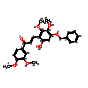 COc1ccc(C(=O)C=Cc2c(O)cc(OCc3ccccc3)c(OC)c2OC)cc1OC